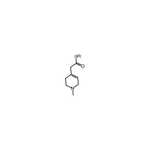 CCCC(=O)CC1=CCN(C)CC1